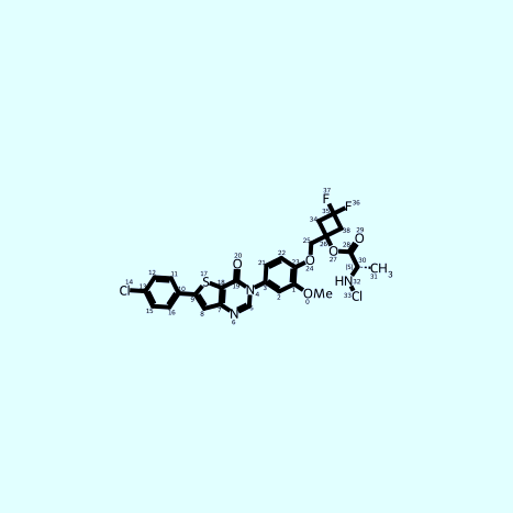 COc1cc(-n2cnc3cc(-c4ccc(Cl)cc4)sc3c2=O)ccc1OCC1(OC(=O)[C@H](C)NCl)CC(F)(F)C1